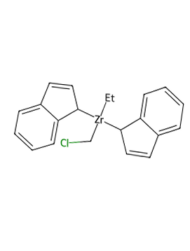 [CH2][CH2][Zr]([CH2]Cl)([CH]1C=Cc2ccccc21)[CH]1C=Cc2ccccc21